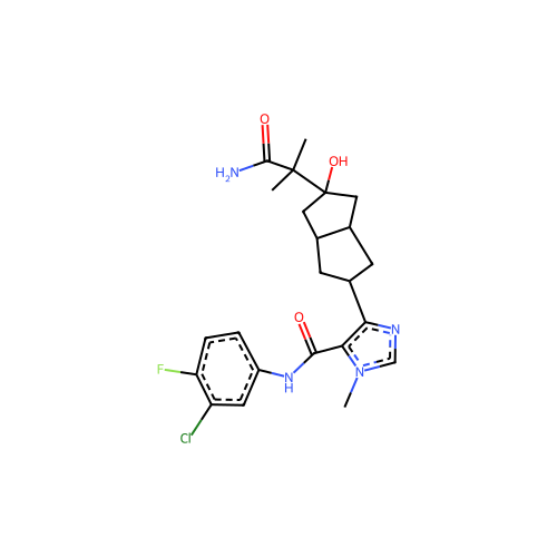 Cn1cnc(C2CC3CC(O)(C(C)(C)C(N)=O)CC3C2)c1C(=O)Nc1ccc(F)c(Cl)c1